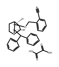 N#Cc1ccccc1CO[C@@H]1C2CCN(CC2)[C@@H]1C(c1ccccc1)c1ccccc1.O=C(O)C(=O)O